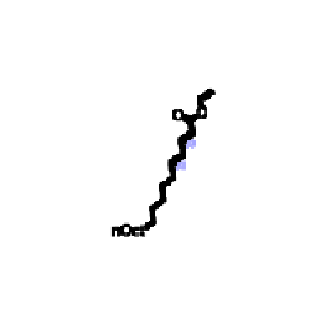 C=COC(=O)/C=C/C=C/CCCCCCCCCCCCC